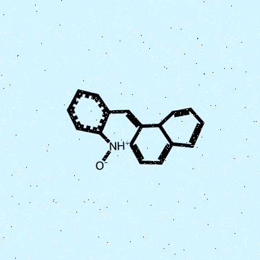 [O-][NH+]1C2=CC=C3C=CC=CC3C2=Cc2ccccc21